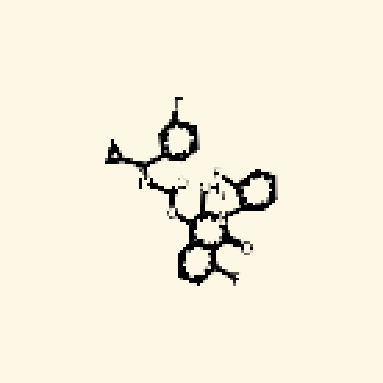 Cc1c(OC(=O)N[C@H](c2cccc(F)c2)C2CC2)c2cccc(F)c2c(=O)n1-c1ccccc1F